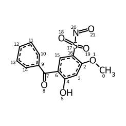 COc1cc(O)c(C(=O)c2ccccc2)cc1S(=O)(=O)N=O